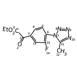 CCOC(=O)C(=O)c1ccc(-n2nnnc2C)c(F)c1